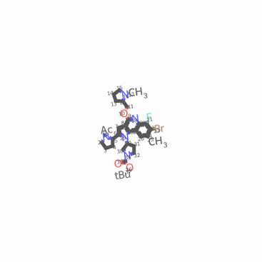 CC(=O)N1CCCC1c1cc2c(OCC3CCCN3C)nc3c(F)c(Br)c(C)cc3c2n1C1CCN(C(=O)OC(C)(C)C)C1